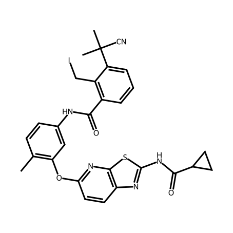 Cc1ccc(NC(=O)c2cccc(C(C)(C)C#N)c2CI)cc1Oc1ccc2nc(NC(=O)C3CC3)sc2n1